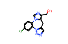 OCc1ncn2c1Cc1cnnn1-c1cc(Cl)ccc1-2